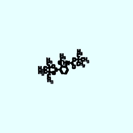 COc1c(NC(=O)OC(C)(C)C)cccc1B1OC(C)(C)C(C)(C)O1